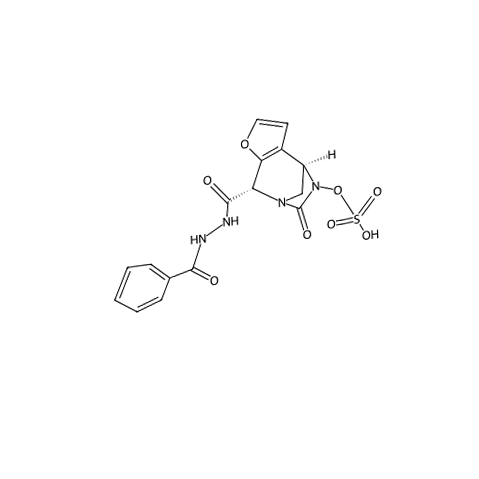 O=C(NNC(=O)[C@@H]1c2occc2[C@@H]2CN1C(=O)N2OS(=O)(=O)O)c1ccccc1